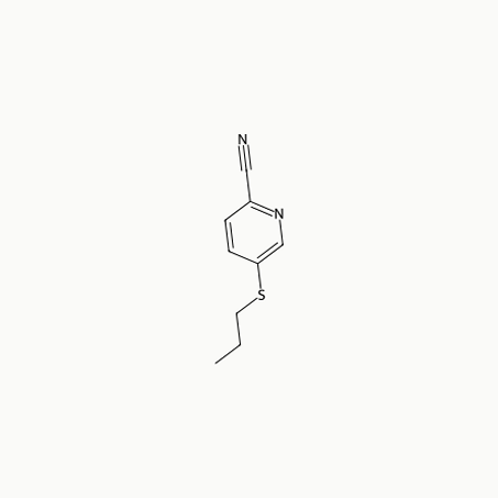 CCCSc1ccc(C#N)nc1